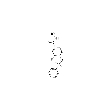 CC(C)(Oc1ncc(C(=O)NO)cc1F)c1ccccc1